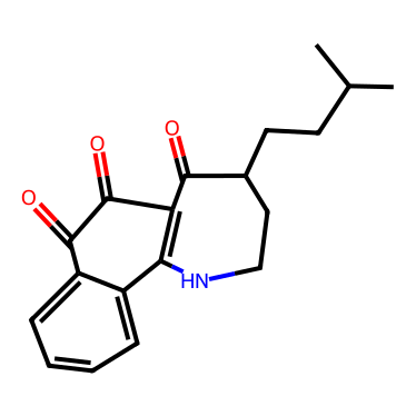 CC(C)CCC1CCNC2=C(C(=O)C(=O)c3ccccc32)C1=O